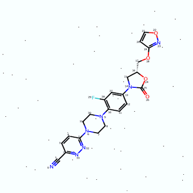 N#Cc1ccc(N2CCN(c3ccc(N4C[C@H](COc5ccon5)OC4=O)cc3F)CC2)nn1